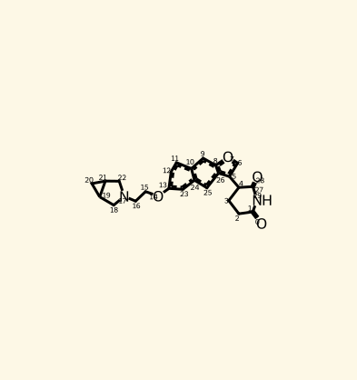 O=C1CCC(c2coc3cc4ccc(OCCN5CC6CC6C5)cc4cc23)C(=O)N1